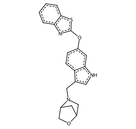 c1ccc2sc(Oc3ccc4c(CN5CC6CC5CO6)c[nH]c4c3)nc2c1